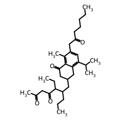 CCCCCC(=O)Cc1cc(C(C)C)c2c(c1C)C(=O)CC(CC(CCC)C(CC)C(=O)CC(C)=O)C2